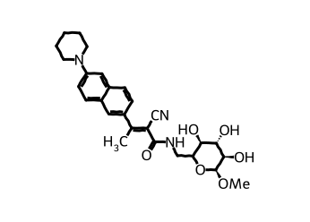 CO[C@H]1OC(CNC(=O)/C(C#N)=C(\C)c2ccc3cc(N4CCCCC4)ccc3c2)[C@@H](O)[C@H](O)[C@H]1O